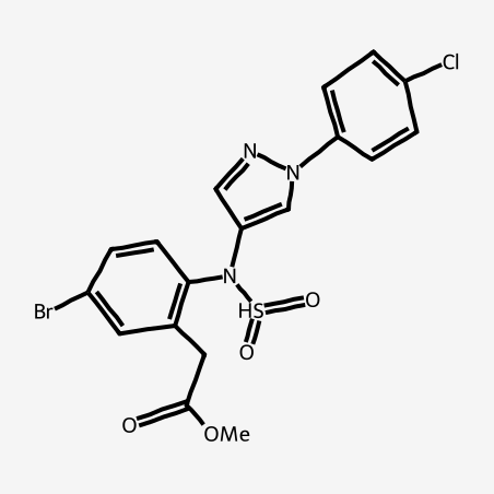 COC(=O)Cc1cc(Br)ccc1N(c1cnn(-c2ccc(Cl)cc2)c1)[SH](=O)=O